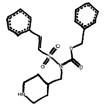 O=C(OCc1ccccc1)N(CC1CCNCC1)S(=O)(=O)C=Cc1ccccc1